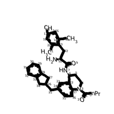 CCCC(=O)N1CC[C@@H](NC(=O)[C@@H](N)Cc2c(C)cc(C)cc2C)c2cc(CC3Cc4ccccc4C3)ccc21